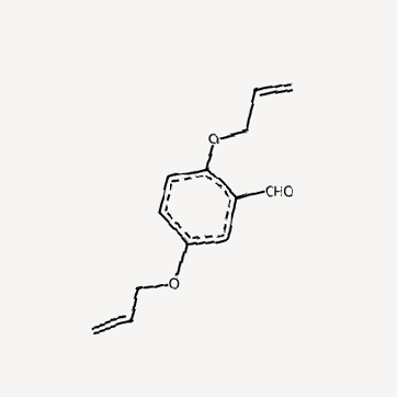 C=CCOc1ccc(OCC=C)c(C=O)c1